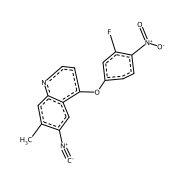 [C-]#[N+]c1cc2c(Oc3ccc([N+](=O)[O-])c(F)c3)ccnc2cc1C